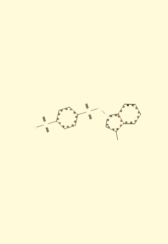 NS(=O)(=O)c1ccc(S(=O)(=O)Nn2cc(Cl)c3ccccc32)cc1